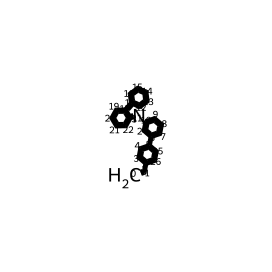 C=Cc1ccc(-c2cccc(-n3c4ccccc4c4ccccc43)c2)cc1